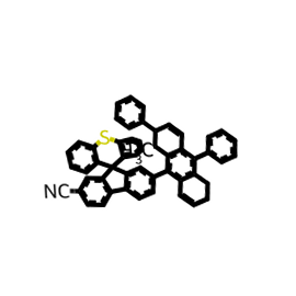 CC1c2c(c(-c3ccccc3)c3c(c2-c2ccc4c(c2)C2(c5ccccc5Sc5ccccc52)c2cc(C#N)ccc2-4)C=CCC3)C=CC1c1ccccc1